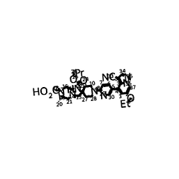 CCOc1cc(-c2ccc(N3CCC(CN4CCN(C(=O)O)[C@@H](C)C4)(NC(=O)OC(C)C)CC3)nc2)c2c(C#N)cnn2c1